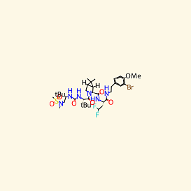 COc1ccc(CCNC(=O)[C@H](CC(F)F)NC(=O)[C@@H]2[C@@H]3[C@H](CN2C(=O)[C@@H](NC(=O)N[C@H](CN(C)S(C)(=O)=O)C(C)(C)C)C(C)(C)C)C3(C)C)cc1Br